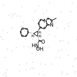 Cc1cn2ccc([C@H]3[C@H](C(=O)NO)[C@@H]3c3ccccc3)cc2n1